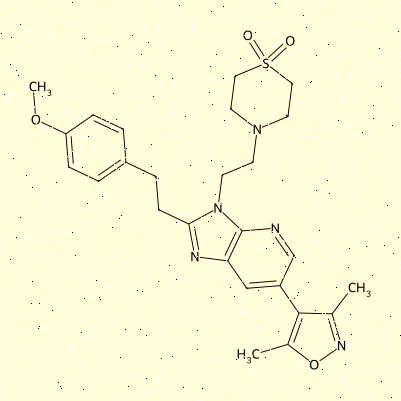 COc1ccc(CCc2nc3cc(-c4c(C)noc4C)cnc3n2CCN2CCS(=O)(=O)CC2)cc1